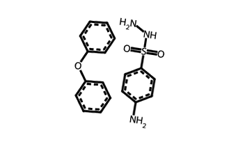 NNS(=O)(=O)c1ccc(N)cc1.c1ccc(Oc2ccccc2)cc1